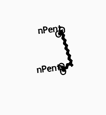 CCCCCOC(=O)CCCCCCCCCCCC(C)CCC(=O)OCCCCC